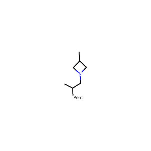 CCCC(C)C(C)CN1CC(C)C1